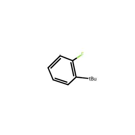 CC(C)(C)c1ccc[c]c1F